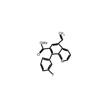 C=Cc1cc(C(=O)OC)c(-c2cccc(F)c2)c2ncccc12